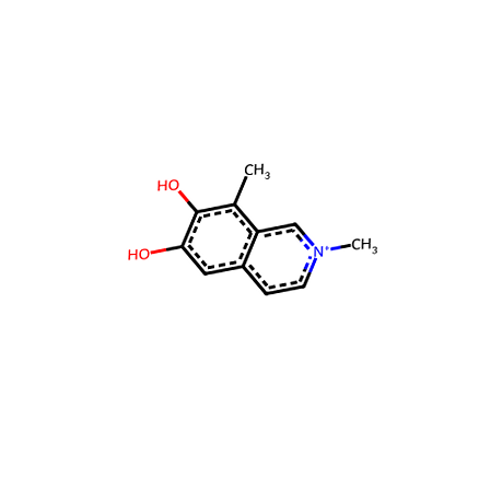 Cc1c(O)c(O)cc2cc[n+](C)cc12